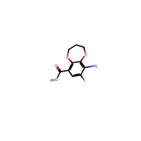 COC(=O)c1cc(F)c(N)c2c1OCCCO2